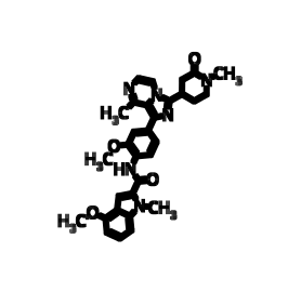 COc1cc(-c2nc(C3CCN(C)C(=O)C3)n3ccnc(C)c23)ccc1NC(=O)c1cc2c(OC)cccc2n1C